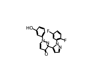 O=c1ccn(-c2cccc(O)c2)nc1-c1ccnn1-c1cc(F)ccc1F